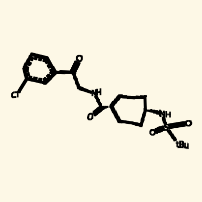 CC(C)(C)S(=O)(=O)N[C@H]1CC[C@H](C(=O)NCC(=O)c2cccc(Cl)c2)CC1